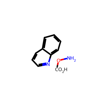 NOC(=O)O.c1ccc2ncccc2c1